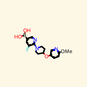 COc1ccc(OC2CCN(c3ncc(B(O)O)cc3F)CC2)cn1